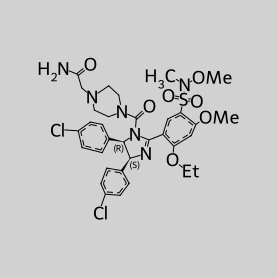 CCOc1cc(OC)c(S(=O)(=O)N(C)OC)cc1C1=N[C@@H](c2ccc(Cl)cc2)[C@@H](c2ccc(Cl)cc2)N1C(=O)N1CCN(CC(N)=O)CC1